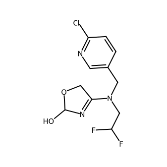 OC1N=C(N(Cc2ccc(Cl)nc2)CC(F)F)CO1